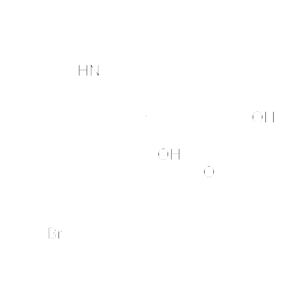 O=C(O)CC1(O)CNc2ccc(Br)cc21